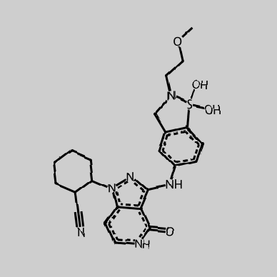 COCCN1Cc2cc(Nc3nn(C4CCCCC4C#N)c4cc[nH]c(=O)c34)ccc2S1(O)O